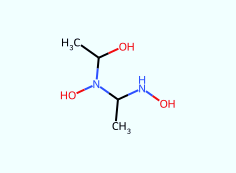 CC(O)N(O)C(C)NO